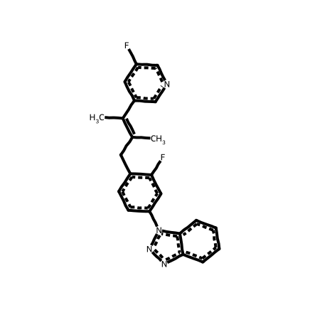 C/C(Cc1ccc(-n2nnc3ccccc32)cc1F)=C(/C)c1cncc(F)c1